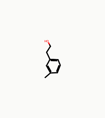 Cc1[c]c(CCO)ccc1